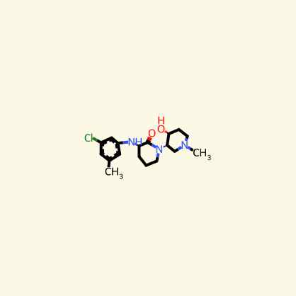 Cc1cc(Cl)cc(N[C@@H]2CCCN([C@H]3CN(C)CC[C@@H]3O)C2=O)c1